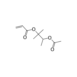 C=CC(=O)OC(C)(C)C(C)OC(C)=O